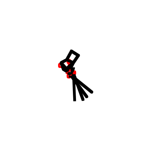 CC1(C)OCCCOC23CCCC4(CCC42OCCCOC1(C)C)C3